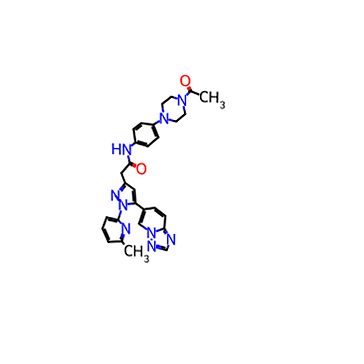 CC(=O)N1CCN(c2ccc(NC(=O)Cc3cc(-c4ccc5ncnn5c4)n(-c4cccc(C)n4)n3)cc2)CC1